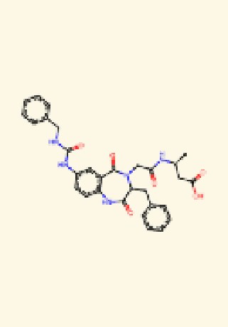 C[C@@H](CC(=O)O)NC(=O)CN1C(=O)c2cc(NC(=O)NCc3ccccc3)ccc2NC(=O)[C@@H]1Cc1ccccc1